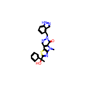 Cn1c2nc(C(C)(O)c3ccccc3)sc2c2cnn(Cc3cccc4[nH]ncc34)c(=O)c21